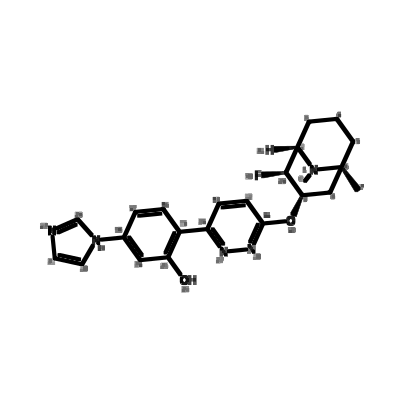 CN1[C@H]2CCC[C@]1(C)C[C@@H](Oc1ccc(-c3ccc(-n4ccnc4)cc3O)nn1)[C@H]2F